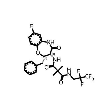 CC(C)(C(=O)NCC(F)(F)C(F)(F)F)C(=O)N[C@H]1C(=O)Nc2cc(F)ccc2O[C@H]1Cc1ccccc1